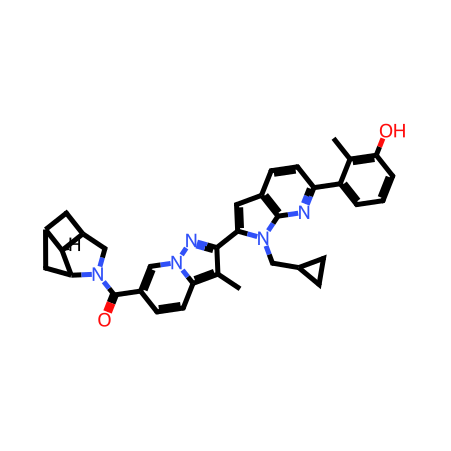 Cc1c(O)cccc1-c1ccc2cc(-c3nn4cc(C(=O)N5CC6CC7CC5[C@H]76)ccc4c3C)n(CC3CC3)c2n1